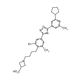 CCc1cc(-c2noc(-c3cc(C)nc(C4CCCC4)c3)n2)cc(C)c1CCCCN1CC(C(=O)O)C1